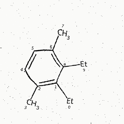 CCc1c(C)[c]cc(C)c1CC